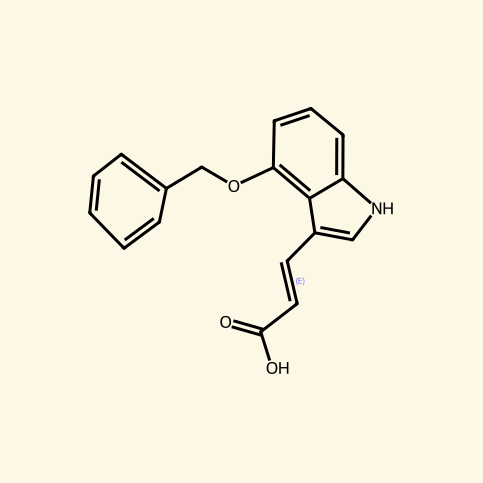 O=C(O)/C=C/c1c[nH]c2cccc(OCc3ccccc3)c12